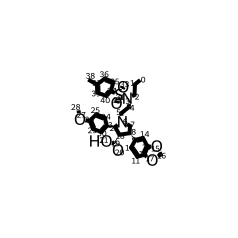 CCCN(CCN1C[C@H](c2ccc3c(c2)OCO3)[C@H](C(=O)O)[C@H]1c1ccc(OC)cc1)S(=O)(=O)c1ccc(C)cc1